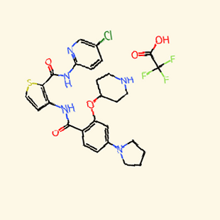 O=C(Nc1ccsc1C(=O)Nc1ccc(Cl)cn1)c1ccc(N2CCCC2)cc1OC1CCNCC1.O=C(O)C(F)(F)F